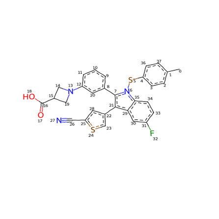 Cc1ccc(Sn2c(-c3cccc(N4CC(C(=O)O)C4)c3)c(-c3csc(C#N)c3)c3cc(F)ccc32)cc1